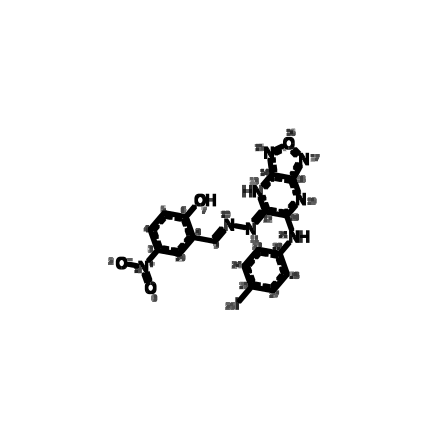 O=[N+]([O-])c1ccc(O)c(C=NN=c2[nH]c3nonc3nc2Nc2ccc(I)cc2)c1